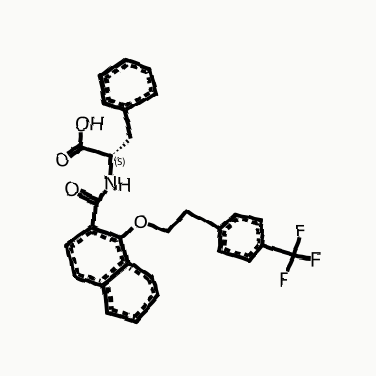 O=C(N[C@@H](Cc1ccccc1)C(=O)O)c1ccc2ccccc2c1OCCc1ccc(C(F)(F)F)cc1